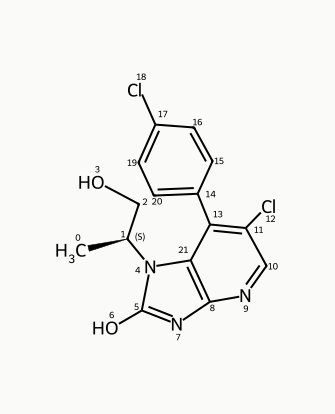 C[C@@H](CO)n1c(O)nc2ncc(Cl)c(-c3ccc(Cl)cc3)c21